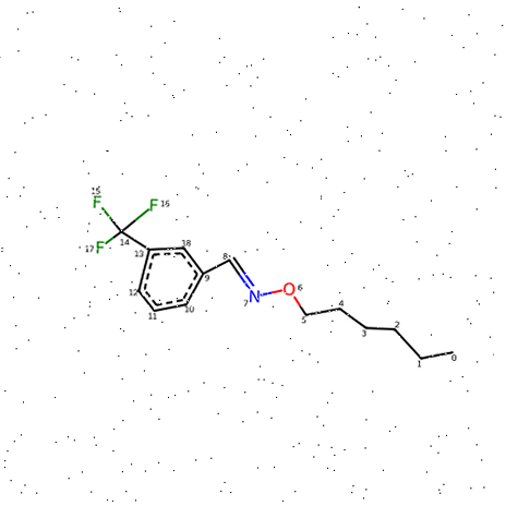 CCCCCCO/N=[C]/c1cccc(C(F)(F)F)c1